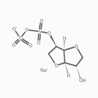 O=S(=O)([O-])OS(=O)(=O)O[C@@H]1CO[C@H]2[C@@H]1OC[C@@H]2O.[Na+]